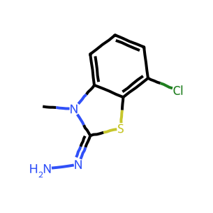 Cn1c(=NN)sc2c(Cl)cccc21